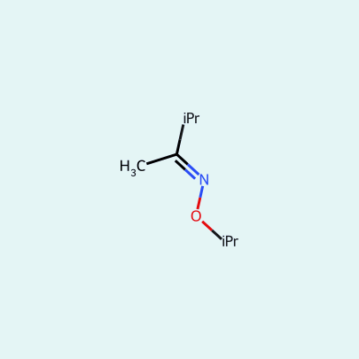 CC(=NOC(C)C)C(C)C